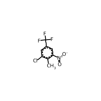 Cc1c(Cl)cc(C(F)(F)F)cc1[N+](=O)[O-]